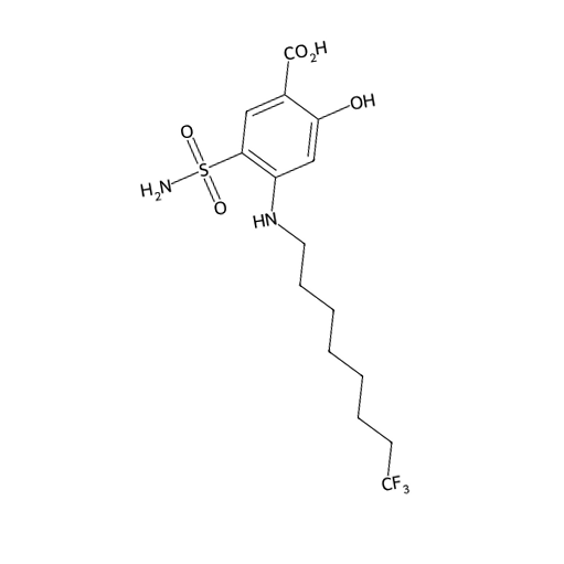 NS(=O)(=O)c1cc(C(=O)O)c(O)cc1NCCCCCCCC(F)(F)F